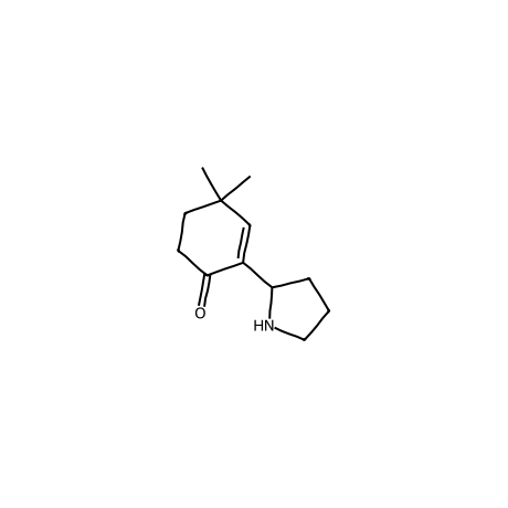 CC1(C)C=C(C2CCCN2)C(=O)CC1